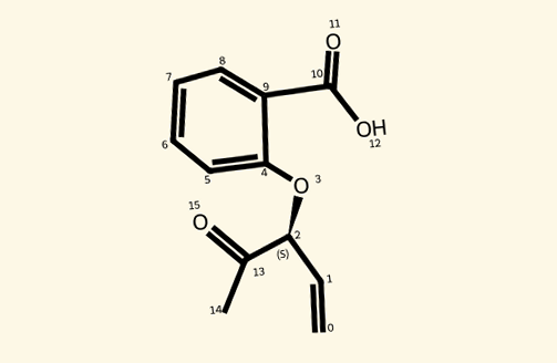 C=C[C@H](Oc1ccccc1C(=O)O)C(C)=O